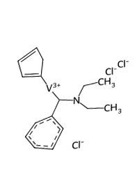 CCN(CC)[CH]([V+3][C]1=CC=CC1)c1ccccc1.[Cl-].[Cl-].[Cl-]